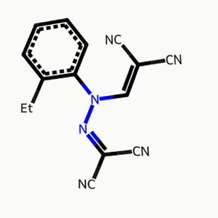 CCc1ccccc1N(C=C(C#N)C#N)N=C(C#N)C#N